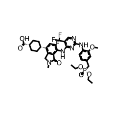 CCOP(=O)(Cc1ccc(Nc2ncc(C(F)(F)F)c(Nc3ccc([C@H]4CC[C@@H](C(=O)O)CC4)c4c3C(=O)N(C)C4)n2)c(OC)c1)OCC